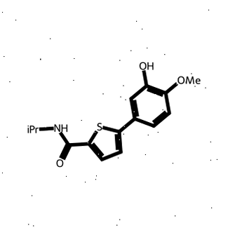 COc1ccc(-c2ccc(C(=O)NC(C)C)s2)cc1O